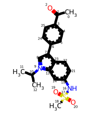 CC(=O)c1ccc(-c2cn(C(C)C)c3cc(NS(C)(=O)=O)ccc23)cc1